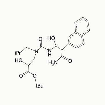 CC(C)CN(CC(O)C(=O)OC(C)(C)C)C(=O)NC(O)C(C(N)=O)c1ccc2ccccc2c1